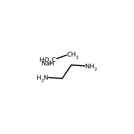 CC(=O)O.NCCN.[NaH]